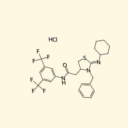 Cl.O=C(CC1CSC(=NC2CCCCC2)N1Cc1ccccc1)Nc1cc(C(F)(F)F)cc(C(F)(F)F)c1